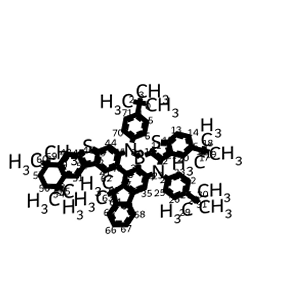 CC(C)(C)c1ccc(N2B3c4sc5ccc(C(C)(C)C)cc5c4N(c4ccc(C(C)(C)C)cc4)c4cc5c(c(c43)-c3cc4c(cc32)sc2cc3c(cc24)C(C)(C)CCC3(C)C)C(C)(C)c2ccccc2-5)cc1